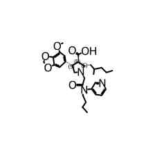 CCCCN(C(=O)CN1C[C@H](c2cc(OC)c3c(c2)OCO3)[C@@H](C(=O)O)[C@@H]1CC(C)CCC)c1cccnc1